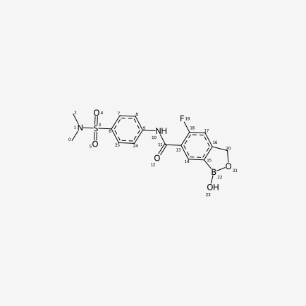 CN(C)S(=O)(=O)c1ccc(NC(=O)c2cc3c(cc2F)COB3O)cc1